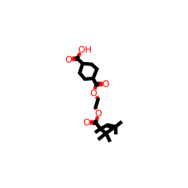 CC(C)=CC(C)(C(=O)OCCOC(=O)C1CCC(C(=O)O)CC1)C(C)(C)C